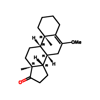 COC1=C2CCCC[C@]2(C)[C@@H]2CC[C@]3(C)C(=O)CC[C@H]3[C@@H]2C1